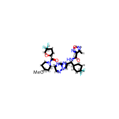 CO[C@H]1CCN(C(=O)[C@@H]2CCC(F)(F)CO2)[C@H](c2cnn3cc([C@@H](NC(=O)c4nonc4C)C4CCC(F)(F)CC4)nc3n2)C1